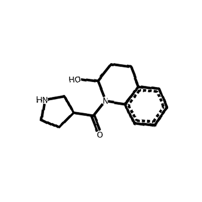 O=C(C1CCNC1)N1c2ccccc2CCC1O